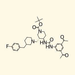 CC(=O)c1cc(NC(=O)N[C@@H]2CCN(C(=O)OC(C)(C)C)C[C@H]2CN2CCCC(Cc3ccc(F)cc3)C2)cc(C(C)=O)c1